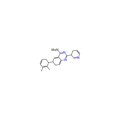 CNc1nc(C2C=NC=CC2)nc2c1=CC(C1CC=CC(C)=C1C)CC=2